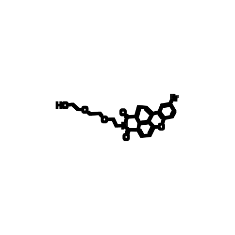 O=c1c2ccc3oc4ccc(Br)cc4c4ccc(c(=O)n1CCOCCOCCO)c2c34